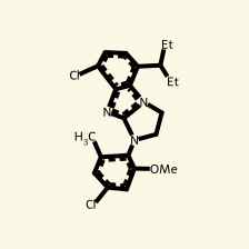 CCC(CC)c1ccc(Cl)c2nc3n(c12)CCN3c1c(C)cc(Cl)cc1OC